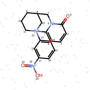 O=c1cccc2n1CC1CCC[N+]2(c2cccc([N+](=O)O)c2)C1